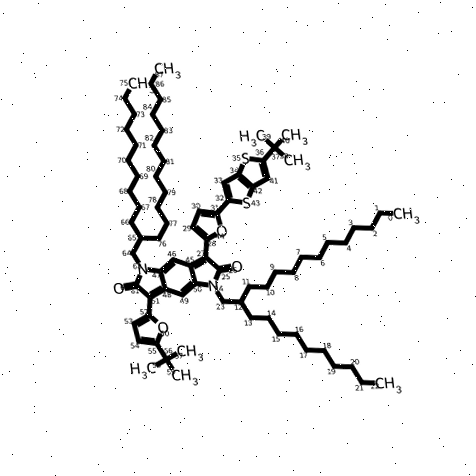 CCCCCCCCCCCCC(CCCCCCCCCC)CN1C(=O)C(c2ccc(-c3cc4sc(C(C)(C)C)cc4s3)o2)=c2cc3c(cc21)=C(c1ccc(C(C)(C)C)o1)C(=O)N3CC(CCCCCCCCCC)CCCCCCCCCCCC